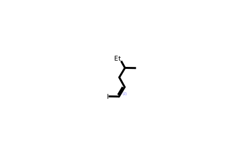 CCC(C)C/C=C\I